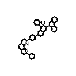 c1ccc(-c2ccc3ccc4ccc(-c5ccc(-c6ccc7cc(-c8cc9ccccc9c9ccccc89)c8oc9ccccc9c8c7c6)cc5)nc4c3n2)cc1